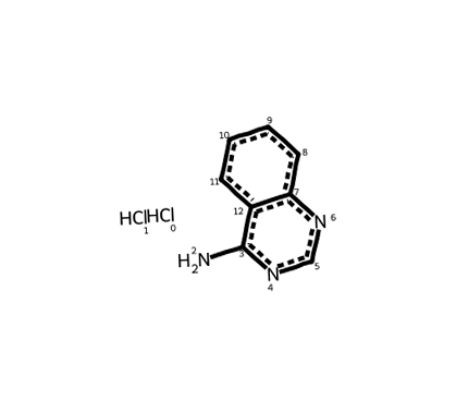 Cl.Cl.Nc1ncnc2ccccc12